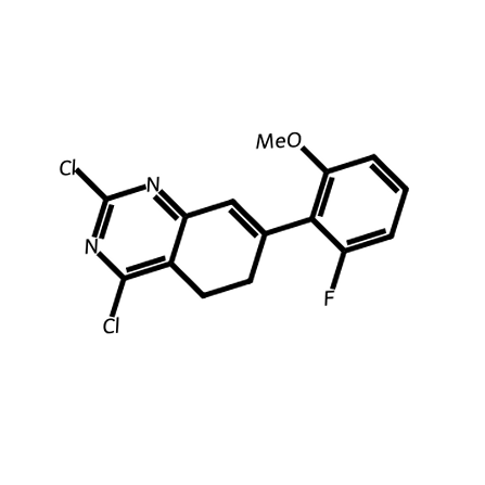 COc1cccc(F)c1C1=Cc2nc(Cl)nc(Cl)c2CC1